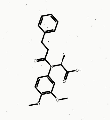 COc1ccc(N(C(=O)CCc2ccccc2)[C@@H](C)C(=O)O)cc1OC